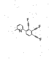 Cc1cccc(-c2ccc(C#CF)c(C#CF)c2C#CF)n1